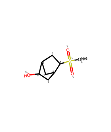 COS(=O)(=O)C1CC2CC1CC2O